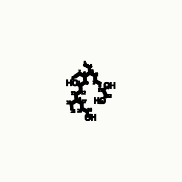 CCCC(CC)C(CC)CC(O)CCC(CC)CCCO.OCCO